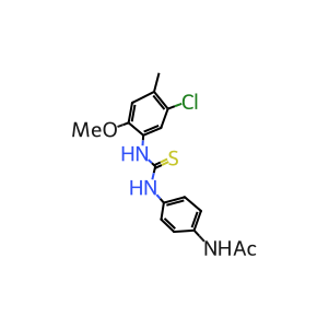 COc1cc(C)c(Cl)cc1NC(=S)Nc1ccc(NC(C)=O)cc1